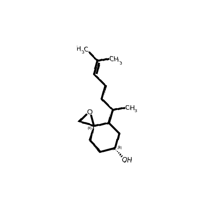 CC(C)=CCCC(C)C1C[C@H](O)CC[C@]12CO2